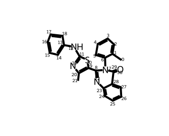 Cc1ccccc1-n1c(-c2sc(Nc3ccccc3)nc2C)nc2ccccc2c1=O